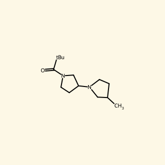 CC1CCN(C2CCN(C(=O)C(C)(C)C)C2)C1